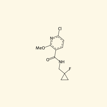 COc1nc(Cl)ccc1C(=O)NCC1(F)CC1